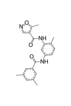 Cc1cc(C)cc(C(=O)Nc2ccc(C)c(NC(=O)c3cnoc3C)c2)c1